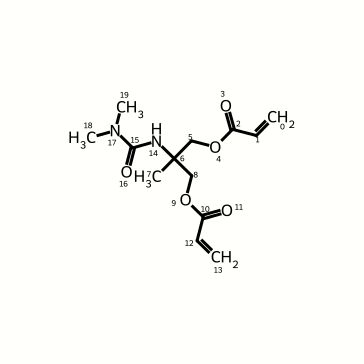 C=CC(=O)OCC(C)(COC(=O)C=C)NC(=O)N(C)C